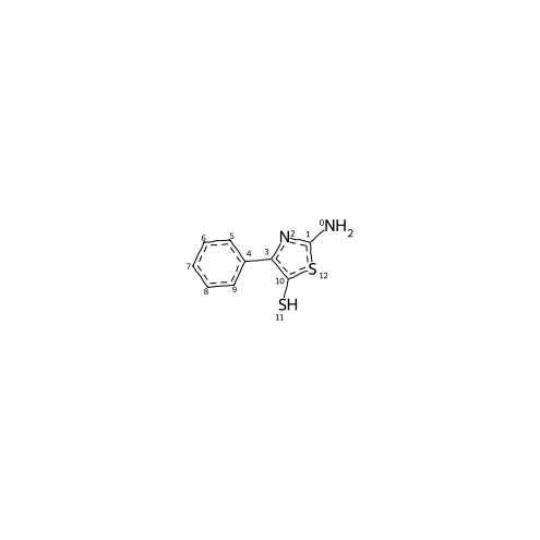 Nc1nc(-c2ccccc2)c(S)s1